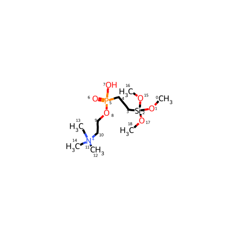 CO[Si](CCP(=O)(O)OCC[N+](C)(C)C)(OC)OC